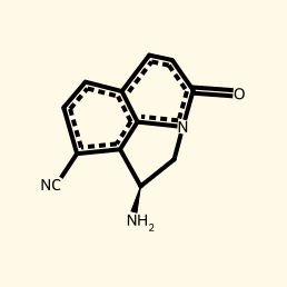 N#Cc1ccc2ccc(=O)n3c2c1[C@H](N)C3